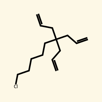 C=CCC(CC=C)(CC=C)CCCCCCl